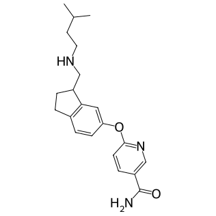 CC(C)CCNCC1CCc2ccc(Oc3ccc(C(N)=O)cn3)cc21